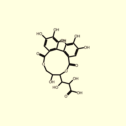 O=C1OCC(O)C(C(O)C(O)C(=O)O)OC(=O)c2cc(O)c(O)c(O)c2-c2c1cc(O)c(O)c2O